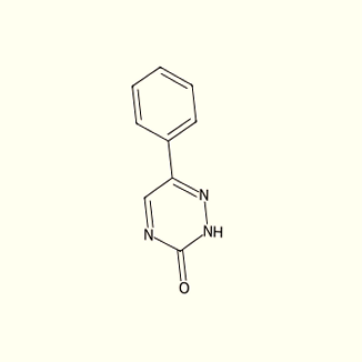 O=c1ncc(-c2ccccc2)n[nH]1